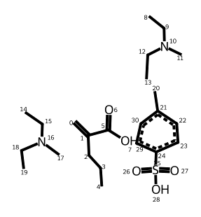 C=C(CCC)C(=O)O.CCN(C)CC.CCN(C)CC.Cc1ccc(S(=O)(=O)O)cc1